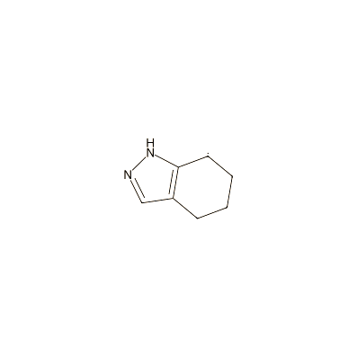 [CH]1CCCc2cn[nH]c21